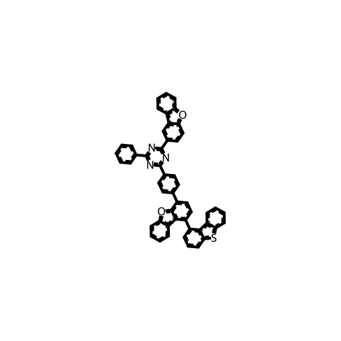 c1ccc(-c2nc(-c3ccc(-c4ccc(-c5cccc6sc7ccccc7c56)c5c4oc4ccccc45)cc3)nc(-c3ccc4oc5ccccc5c4c3)n2)cc1